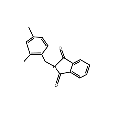 Cc1ccc(CN2C(=O)c3ccccc3C2=O)c(C)c1